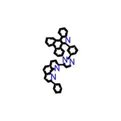 c1ccc(-c2ccc3ccc4ccc(-c5ccnc(-c6cccc(-c7nc8ccccc8c8c9ccccc9c9ccccc9c78)c6)n5)nc4c3n2)cc1